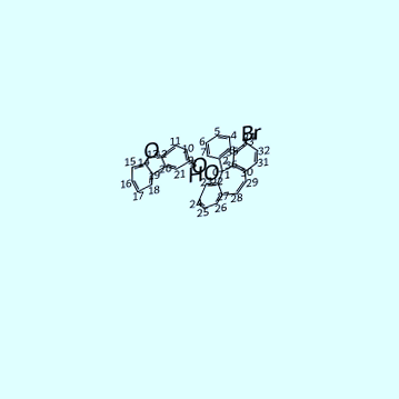 OC1(c2ccccc2Oc2ccc3oc4ccccc4c3c2)c2ccccc2C=Cc2ccc(Br)cc21